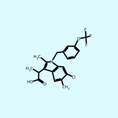 Cc1cc2c(C(C)C(=O)O)c(C)n(Cc3cccc(OC(F)(F)F)c3)c2cc1Cl